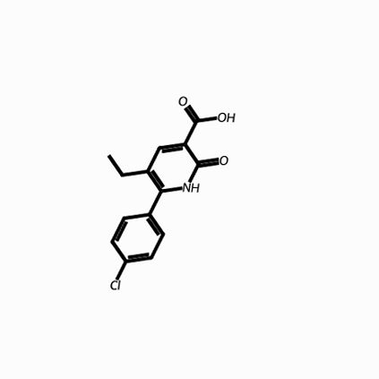 CCc1cc(C(=O)O)c(=O)[nH]c1-c1ccc(Cl)cc1